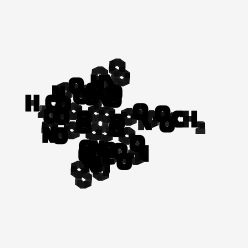 C=CC(=O)Oc1ccnc(Oc2ccc(Oc3cc4c5c(cc(Oc6ccc(Oc7cc(OC(=O)C=C)ccn7)cc6)c6c7c(Oc8ccc(Oc9cc(OC(=O)C=C)ccn9)cc8)cc8c9c(cc(Oc%10ccc(Oc%11cc(OC(=O)C=C)ccn%11)cc%10)c(c3c56)c97)C(=O)N(C(Cc3ccccc3)C(=O)Nc3cccc5ccccc35)C8=O)C(=O)N(C(Cc3ccccc3)C(=O)Nc3cccc5ccccc35)C4=O)cc2)c1